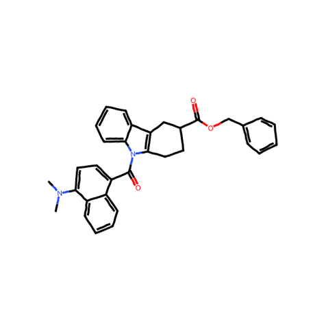 CN(C)c1ccc(C(=O)n2c3c(c4ccccc42)CC(C(=O)OCc2ccccc2)CC3)c2ccccc12